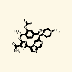 C[C@@H](Oc1nc(-c2cnc3cnc(CN4CCN(C)CC4)cn23)sc1C(N)=O)c1ccc(CO)cc1OC(F)F